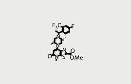 COC(=O)c1nc2c(N3C[C@@H](C)N(C(C)c4ccc(F)cc4C(F)(F)F)C[C@@H]3C)cc(=O)n(C)c2s1